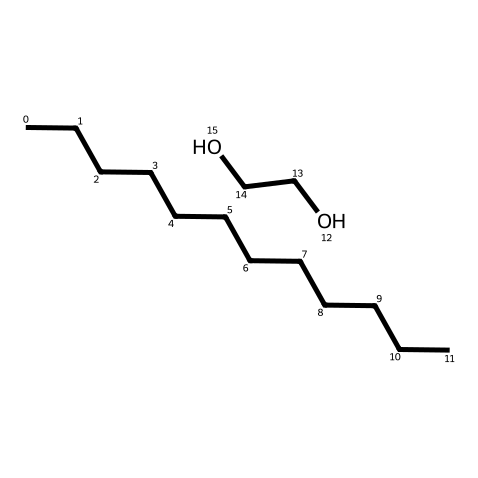 CCCCCCCCCCCC.OCCO